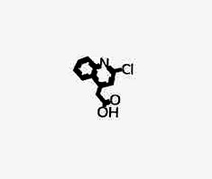 O=C(O)Cc1cc(Cl)nc2ccccc12